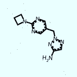 Nc1cnn(Cc2cnc(N3CCC3)nc2)n1